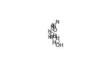 C[C@H]1[C@H]2C3[C@@H]4CC[C@@H]5C[C@](C)(O)CC[C@@H]5[C@H]4CC[C@]3(C)[C@@H](C(=O)Cn3ccc(C#N)n3)[C@@H]12